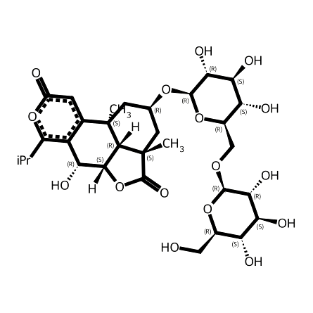 CC(C)c1oc(=O)cc2c1[C@@H](O)[C@H]1OC(=O)[C@@]3(C)C[C@H](O[C@@H]4O[C@H](CO[C@@H]5O[C@H](CO)[C@@H](O)[C@H](O)[C@H]5O)[C@@H](O)[C@H](O)[C@H]4O)C[C@@]2(C)[C@@H]13